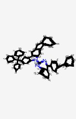 c1ccc(-c2ccc(-c3nc(-n4c5ccc(C(c6ccccc6)(c6ccccc6)c6ccccc6)cc5c5cc6c(cc54)-c4ccccc4C6)nc4ccccc34)cc2)cc1